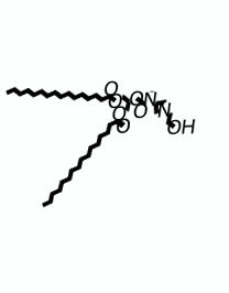 CCCCCCCCCCCCCCCC(=O)OCC(COC(=O)CCCCCCCCCCCCCCC)OC(=O)N(C)C1CN(CCO)C1